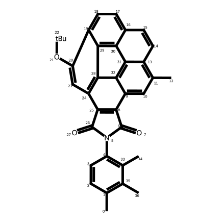 Cc1ccc(-n2c(=O)c3c4cc(C)c5ccc6ccc7c(OC(C)(C)C)cc(c3c2=O)c2c7c6c5c42)c(C)c1C